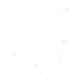 COC1=C=C=C(NS(=O)(=O)c2cc3c(cc2Br)N(C)C(=O)C(C)O3)C=C1Cl